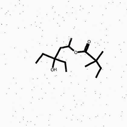 CCC(O)(CC)CC(C)OC(=O)C(C)(C)CC